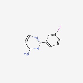 Nc1ccnc(-c2cccc(I)c2)n1